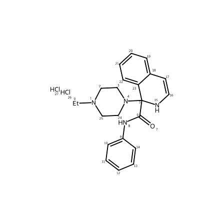 CCN1CCN(C2(C(=O)Nc3ccccc3)NC=Cc3ccccc32)CC1.Cl.Cl